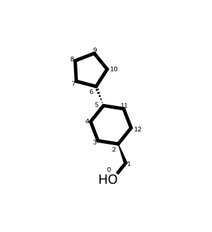 OC[C@H]1CC[C@H](C2CCCC2)CC1